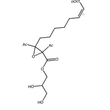 CCCCCCCC/C=C\CCCCCC1(C(C)=O)OC1(C(C)=O)C(=O)OCC(O)CO